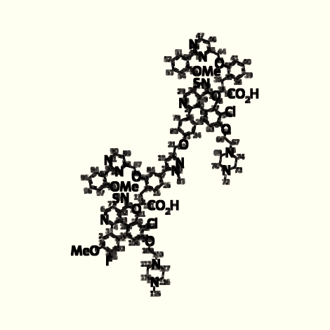 COc1cc(-c2ncc3snc(O[C@H](Cc4ccc(-c5cc(COc6ccc(-c7ncc8snc(O[C@H](Cc9ccccc9OCc9ccnc(-c%10ccccc%10OC)n9)C(=O)O)c8c7-c7ccc(OCCN8CCN(C)CC8)c(Cl)c7C)cc6)nn5C)cc4OCc4ccnc(-c5ccccc5OC)n4)C(=O)O)c3c2-c2ccc(OCCN3CCN(C)CC3)c(Cl)c2C)ccc1F